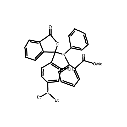 CCN(CC)c1ccc(C2(N(c3ccccc3)c3ccccc3C(=O)OC)OC(=O)c3ccccc32)c(C)c1